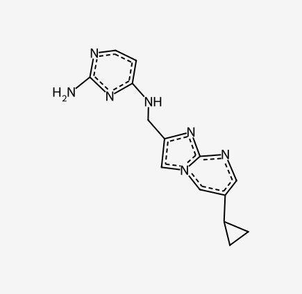 Nc1nccc(NCc2cn3cc(C4CC4)cnc3n2)n1